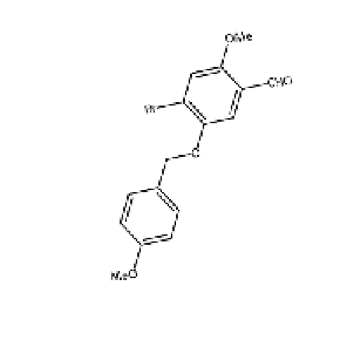 COc1ccc(COc2cc(C=O)c(OC)cc2Br)cc1